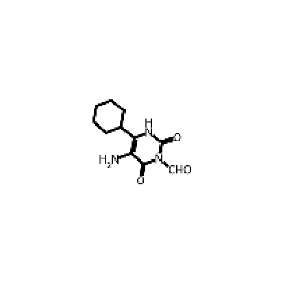 Nc1c(C2CCCCC2)[nH]c(=O)n(C=O)c1=O